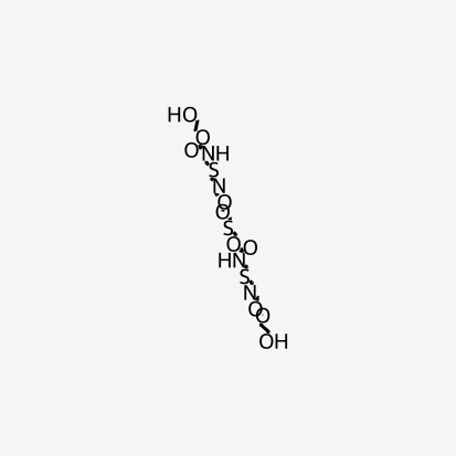 O=C(NCSC/N=C/OOCSCOC(=O)NCSC/N=C/OOCCO)OCCO